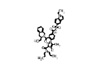 CCCN(CCC)C(=O)c1nn(-c2ccc(C(=O)NS(=O)(=O)c3ccc4c(c3)CCN4CC)cc2C(=O)N2Cc3ccccc3CC2CO)c(C)c1Cl